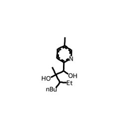 CCCCC(CC)C(C)(O)C(O)c1ccc(C)cn1